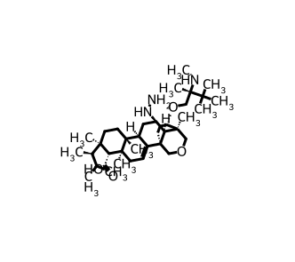 CN[C@@](C)(CO[C@H]1[C@H](NN)C[C@@]23COC[C@@]1(C)[C@@H]2CC[C@H]1C3=CC[C@@]2(C)[C@H](C(=O)O)[C@@](C)([C@H](C)C(C)C)CC[C@]12C)C(C)(C)C